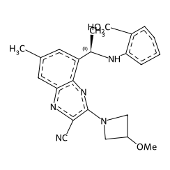 COC1CN(c2nc3c([C@@H](C)Nc4ccccc4C(=O)O)cc(C)cc3nc2C#N)C1